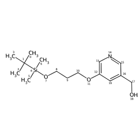 CC(C)(C)[Si](C)(C)OCCCOc1cncc(CO)c1